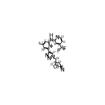 Cc1cc(Nc2cc(C(F)F)ccn2)nc(-c2cn(C[C@](C)(O)CC#N)nn2)c1